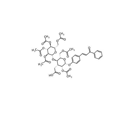 CC(=O)OC[C@@H]1O[C@H](Oc2ccc(/C=C/C(=O)c3ccccc3)cc2)[C@H](OC(C)=O)[C@H](CC(=O)O)[C@H]1O[C@H]1O[C@@H](COC(C)=O)[C@H](OC(C)=O)[C@@H](OC(C)=O)[C@@H]1OC(C)=O